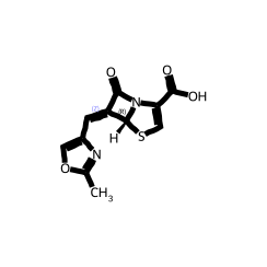 Cc1nc(/C=C2/C(=O)N3C(C(=O)O)=CS[C@H]23)co1